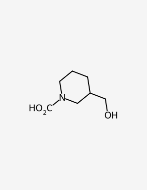 O=C(O)N1CCCC(CO)C1